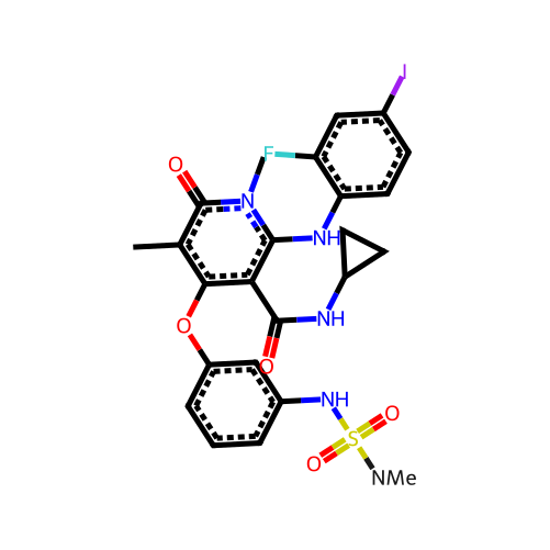 CNS(=O)(=O)Nc1cccc(Oc2c(C(=O)NC3CC3)c(Nc3ccc(I)cc3F)n(C)c(=O)c2C)c1